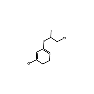 CC(CO)OC1=CCCC(Cl)=C1